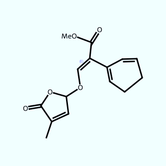 COC(=O)/C(=C/OC1C=C(C)C(=O)O1)C1=CCCC=C1